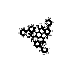 CC(C)(C)/C(=N/c1ccc(-c2ccccn2)cc1)C1CC(/C(=N\c2ccc(-c3ccccn3)cc2)C(C)(C)C)CC(/C(=N\c2ccc(-c3ccccn3)cc2)C(C)(C)C)C1